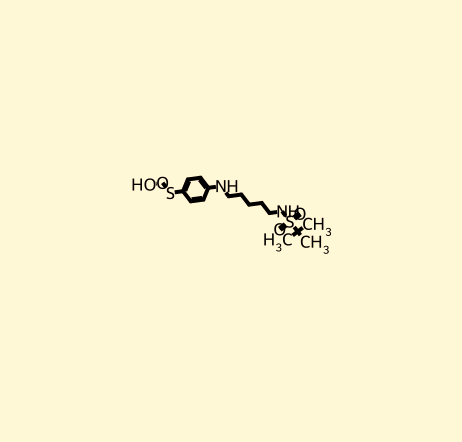 CC(C)(C)S(=O)(=O)NCCCCCNc1ccc(SOO)cc1